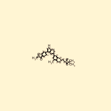 Cc1cc(-c2cnc3[nH]cc(-c4ccc(C(=O)N(C)C)cc4)c3n2)cc2c1CCN(CCS(=O)(=O)C(C)C)C2